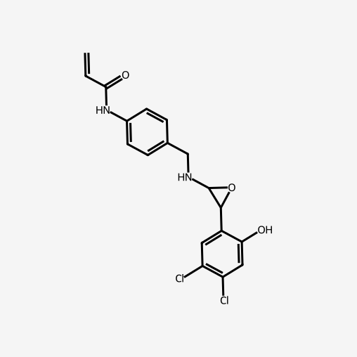 C=CC(=O)Nc1ccc(CNC2OC2c2cc(Cl)c(Cl)cc2O)cc1